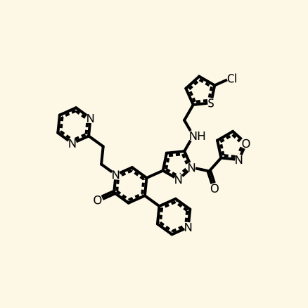 O=C(c1ccon1)n1nc(-c2cn(CCc3ncccn3)c(=O)cc2-c2ccncc2)cc1NCc1ccc(Cl)s1